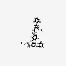 COC(=O)[C@@H]1CN(Cc2ccccc2)C[C@@H]1Cc1cccc(OCCc2nc(-c3ccccc3)oc2C)c1